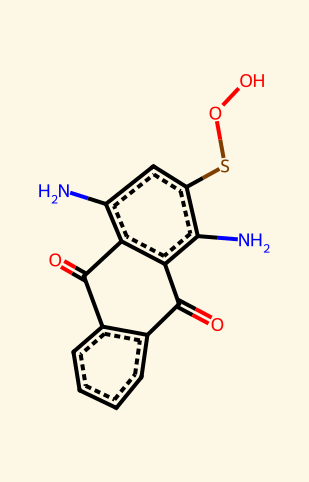 Nc1cc(SOO)c(N)c2c1C(=O)c1ccccc1C2=O